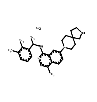 Cc1c(C(C)Nc2nnc(C)c3ccc(N4CCC5(CCNC5)CC4)cc23)cccc1C(F)(F)F.Cl